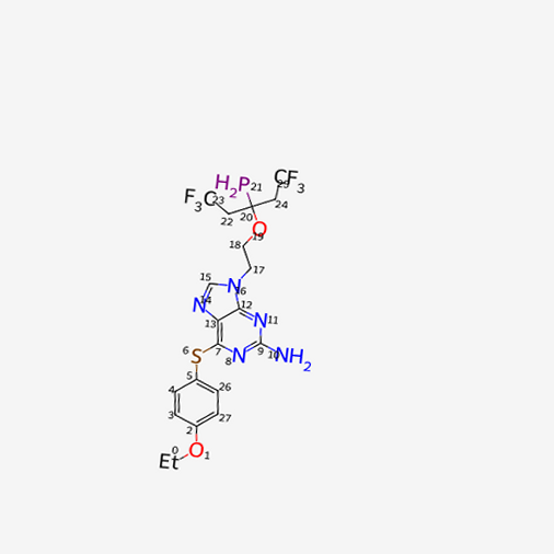 CCOc1ccc(Sc2nc(N)nc3c2ncn3CCOC(P)(CC(F)(F)F)CC(F)(F)F)cc1